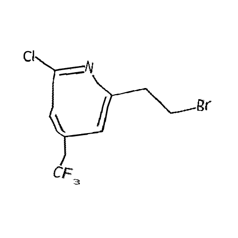 FC(F)(F)c1cc(Cl)nc(CCBr)c1